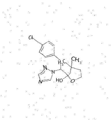 CC1(C)CCOC1(O)C(Cc1ccc(Cl)cc1)n1cncn1